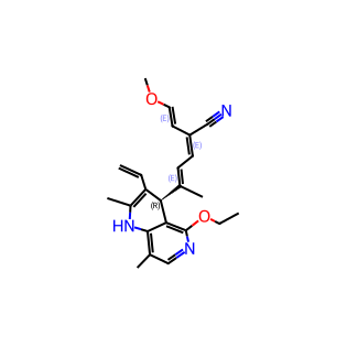 C=CC1=C(C)Nc2c(C)cnc(OCC)c2[C@@H]1/C(C)=C/C=C(C#N)\C=C\OC